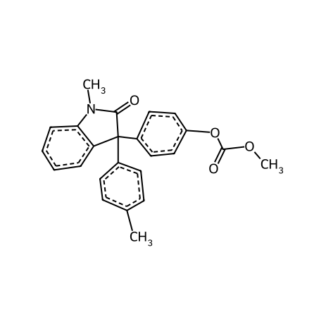 COC(=O)Oc1ccc(C2(c3ccc(C)cc3)C(=O)N(C)c3ccccc32)cc1